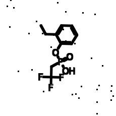 CCc1ccccc1OP(=O)(O)CC(F)(F)F